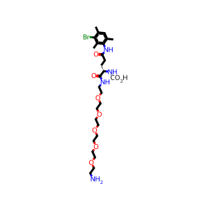 Cc1cc(C)c(NC(=O)CC[C@H](NC(=O)O)C(=O)NCCOCCOCCOCCOCCOCCN)c(C)c1Br